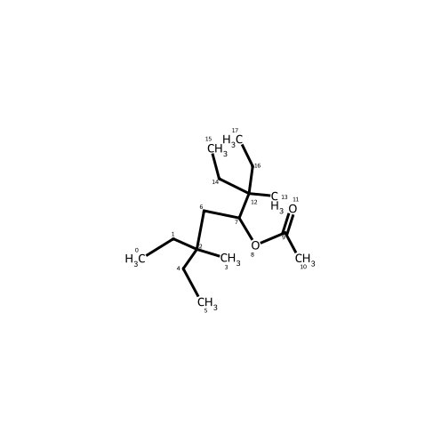 CCC(C)(CC)CC(OC(C)=O)C(C)(CC)CC